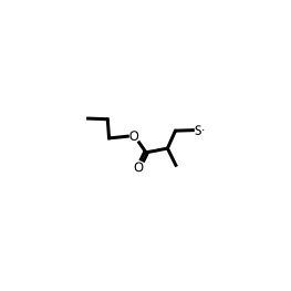 CCCOC(=O)C(C)C[S]